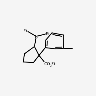 CCOC(=O)C1(c2cccc(C)c2)CCCC1N(CC)CC